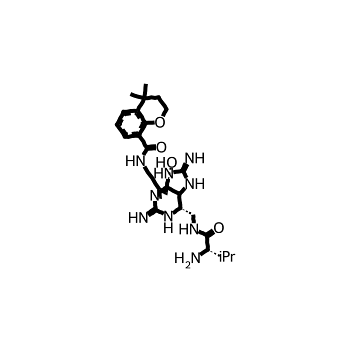 CC(C)[C@H](N)C(=O)NC[C@@H]1NC(=N)N2CC(NC(=O)c3cccc4c3OCCC4(C)C)[C@@H](O)C23NC(=N)NC13